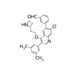 Cc1cc(C)cc(-c2cnc3cc(Cl)c(-c4cccc(C=O)c4)cc3c2OCCC2CCN2)c1